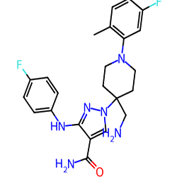 Cc1ccc(F)cc1N1CCC(CN)(n2cc(C(N)=O)c(Nc3ccc(F)cc3)n2)CC1